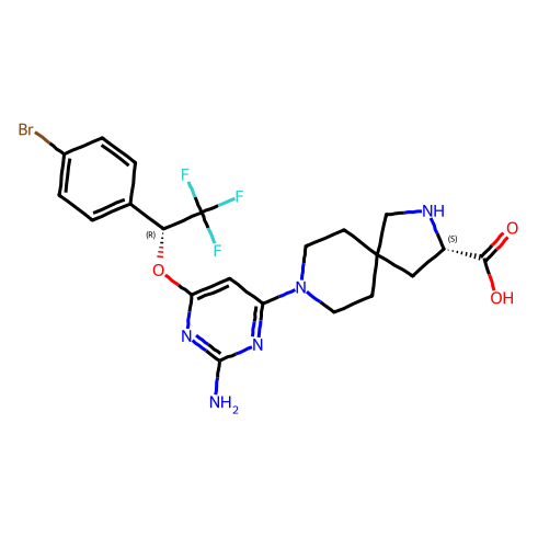 Nc1nc(O[C@H](c2ccc(Br)cc2)C(F)(F)F)cc(N2CCC3(CC2)CN[C@H](C(=O)O)C3)n1